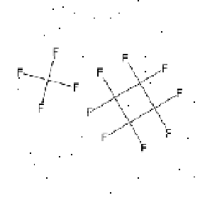 FC(F)(F)F.FC1(F)C(F)(F)C(F)(F)C1(F)F